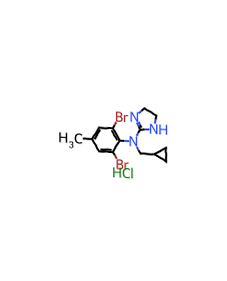 Cc1cc(Br)c(N(CC2CC2)C2=NCCN2)c(Br)c1.Cl